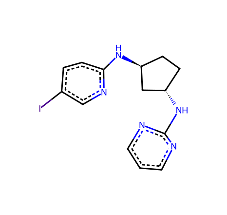 Ic1ccc(N[C@H]2CC[C@H](Nc3ncccn3)C2)nc1